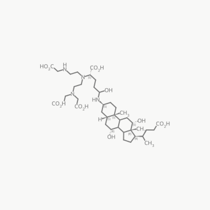 CC(CCC(=O)O)[C@H]1CCC2C3C(C[C@H](O)[C@@]21C)[C@@]1(C)CC[C@H](NC(O)CC[C@@H](C(=O)O)N(CCNCC(=O)O)CCN(CC(=O)O)CC(=O)O)C[C@H]1C[C@H]3O